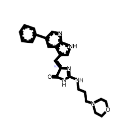 O=C1NC(NCCCN2CCOCC2)=N/C1=C\c1c[nH]c2ncc(-c3ccccc3)cc12